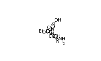 CCOc1cc(O[C@@H]2CCCN(CCO)C2)c(F)c(C(Nc2ccc(C(=N)N)cc2)C(=O)O)c1